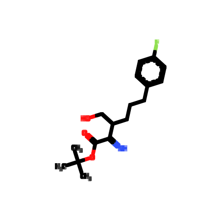 CC(C)(C)OC(=O)C(=N)C(CO)CCCc1ccc(F)cc1